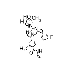 Cc1cc(-c2cnc3c(NCC(C)(C)O)nc(Oc4cccc(F)c4)cn23)ccc1C(=O)NC1CC1